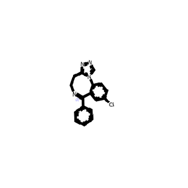 Clc1ccc2c(c1)/C(c1ccccc1)=N\CCc1nncn1-2